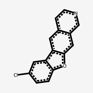 Clc1ccc2oc3cc4cnccc4cc3c2c1